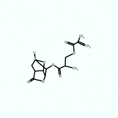 C=C(C(=O)OCC(C)C(=O)OC1C2OC(=O)C3C[C@@H]1OC32)C(F)(F)F